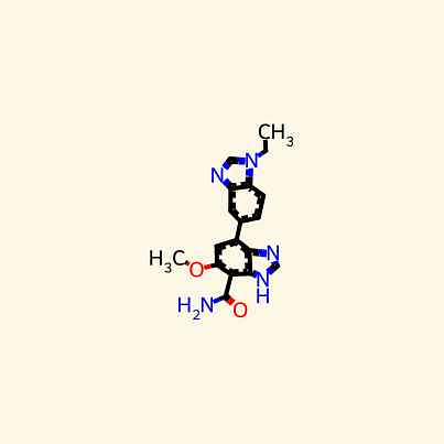 CCn1cnc2cc(-c3cc(OC)c(C(N)=O)c4[nH]cnc34)ccc21